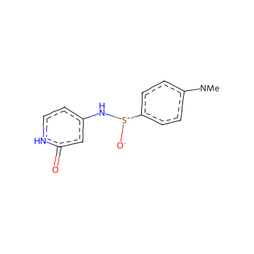 CNc1ccc([S+]([O-])Nc2cc[nH]c(=O)c2)cc1